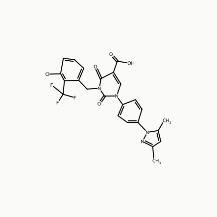 Cc1cc(C)n(-c2ccc(-n3cc(C(=O)O)c(=O)n(Cc4cccc(Cl)c4C(F)(F)F)c3=O)cc2)n1